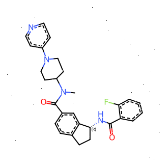 CN(C(=O)c1ccc2c(c1)[C@H](NC(=O)c1ccccc1F)CC2)C1CCN(c2ccncc2)CC1